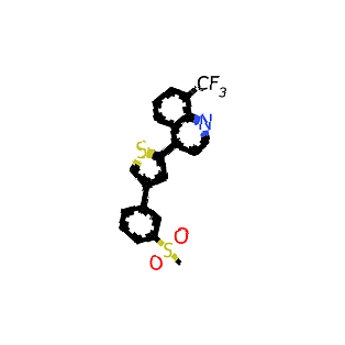 CS(=O)(=O)c1cccc(-c2csc(-c3ccnc4c(C(F)(F)F)cccc34)c2)c1